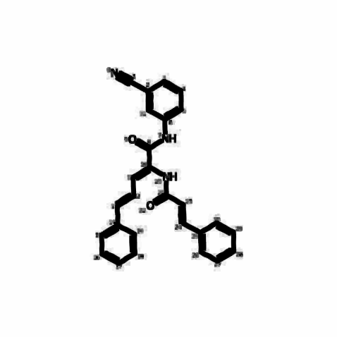 N#Cc1cccc(NC(=O)/C(=C/C=C/c2ccccc2)NC(=O)C=Cc2ccccc2)c1